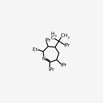 CCC1N=C(C(C)C)C(C(C)C)CC(C(C)(C)C(C)C)C1C(C)C